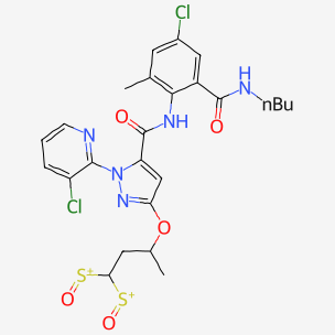 CCCCNC(=O)c1cc(Cl)cc(C)c1NC(=O)c1cc(OC(C)CC([S+]=O)[S+]=O)nn1-c1ncccc1Cl